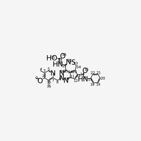 COc1c(C)cnc(Cn2nc3cc(C(=O)Nc4ccccc4)c4c-3c(n2)C(NC(=O)O)=NSC4)c1C